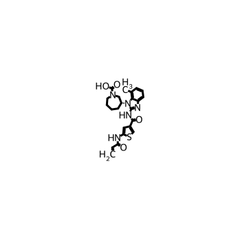 C=CC(=O)Nc1cc(C(=O)Nc2nc3cccc(C)c3n2[C@@H]2CCCCN(C(=O)O)C2)cs1